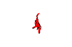 CCCCCC(C)(C)c1ccc(C=CC2=NN(c3ccc(-c4nc5cc(C(C)(C)CCCCC)ccc5o4)cc3)C(c3ccc(C(C)(C)CCCCC)cc3)C2)cc1